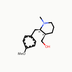 COc1ccc(C[C@@H]2[C@H](CO)CCCN2C)cc1